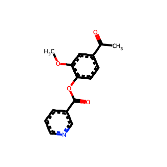 COc1cc(C(C)=O)ccc1OC(=O)c1cccnc1